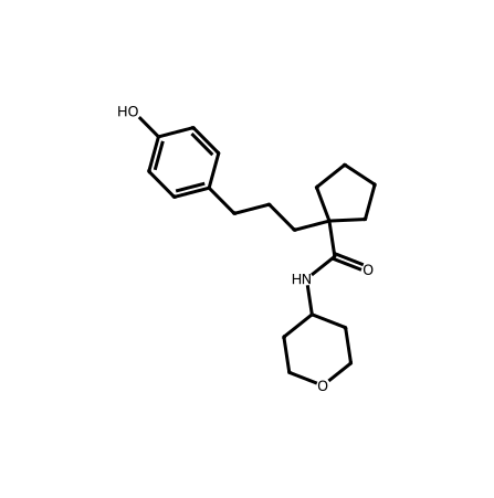 O=C(NC1CCOCC1)C1(CCCc2ccc(O)cc2)CCCC1